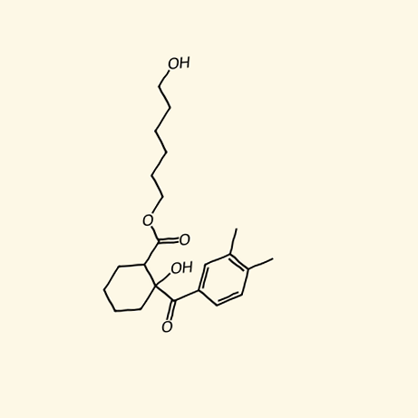 Cc1ccc(C(=O)C2(O)CCCCC2C(=O)OCCCCCCO)cc1C